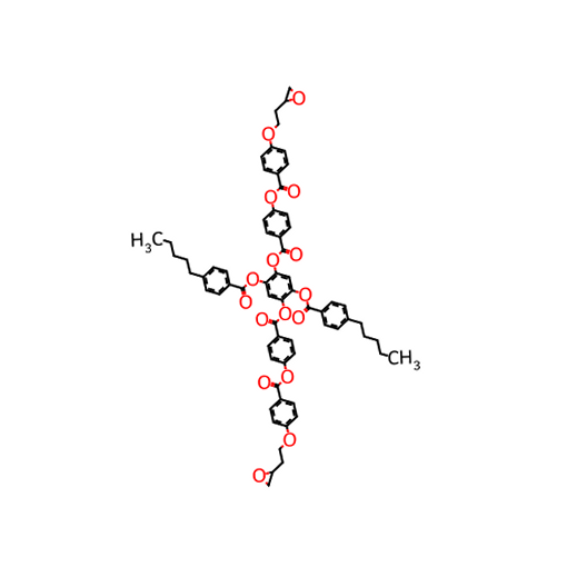 CCCCCc1ccc(C(=O)Oc2cc(OC(=O)c3ccc(OC(=O)c4ccc(OCCC5CO5)cc4)cc3)c(OC(=O)c3ccc(CCCCC)cc3)cc2OC(=O)c2ccc(OC(=O)c3ccc(OCCC4CO4)cc3)cc2)cc1